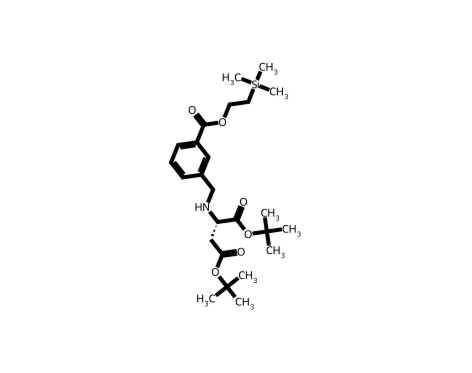 CC(C)(C)OC(=O)C[C@H](NCc1cccc(C(=O)OCC[Si](C)(C)C)c1)C(=O)OC(C)(C)C